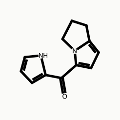 O=C(c1ccc[nH]1)c1ccc2n1CCC2